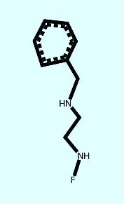 FNCCNCc1ccccc1